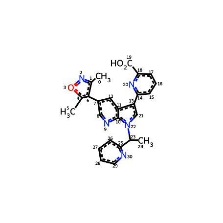 Cc1noc(C)c1-c1cnc2c(c1)c(-c1cccc(C(=O)O)n1)cn2C(C)c1ccccn1